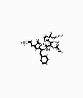 C=CCC1CC(C(CC2CCCCC2)NC(=O)C(OC(N)=O)C(c2nccn2C(=O)OC(C)(C)C)C(C)(C)C)OC1=O